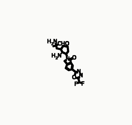 CC(N)(C=O)CC1CCCC(N2Cc3ccc(-c4nnc(C(F)F)o4)cc3C2=O)[C@@H]1N